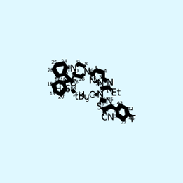 CCc1nc2ccc(N3CCN[C@H](C(O[SiH2]C(C)(C)C)(c4ccccc4)c4ccccc4)C3)nn2c1N(C)c1nc(-c2ccc(F)cc2)c(C#N)s1